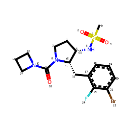 CS(=O)(=O)N[C@H]1CCN(C(=O)N2CCC2)[C@H]1Cc1cccc(Br)c1F